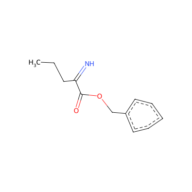 CCCC(=N)C(=O)OCc1ccccc1